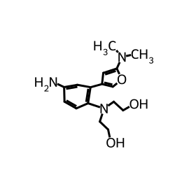 CN(C)c1cc(-c2cc(N)ccc2N(CCO)CCO)co1